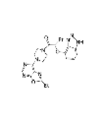 CCc1nc2c(N3CCN(C(=O)C(CC)Oc4cccc5[nH]nnc45)CC3)ncnc2o1